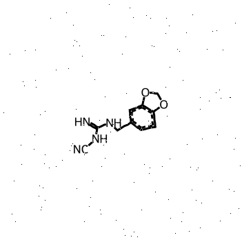 N#CNC(=N)NCc1ccc2c(c1)OCO2